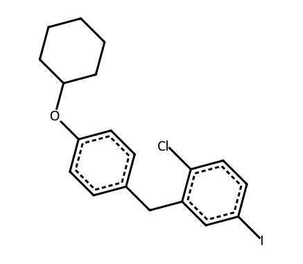 Clc1ccc(I)cc1Cc1ccc(OC2CCCCC2)cc1